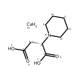 O=C(O)C[C@@H](C(=O)O)N1CCCCC1.[CaH2]